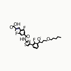 CCCCCOCCCC(OC)c1cccc(-c2csc(NC(=O)c3cc(F)c(/C=C(\C)C(=O)O)c(F)c3)n2)c1F